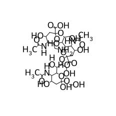 CC(=O)NC1C(O)CC(OC(CO)C(O)C2OC(OC(CO)C(O)C3OC(O)(OCO)CC(O)C3NC(C)=O)(C(=O)O)CC(O)C2NC(C)=O)(C(=O)O)OC1CN